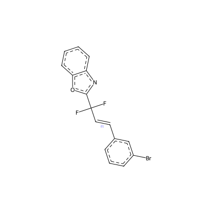 FC(F)(/C=C/c1cccc(Br)c1)c1nc2ccccc2o1